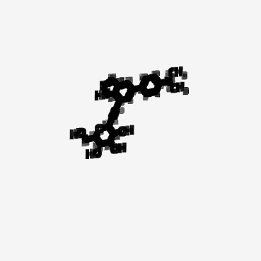 CN(C)c1ccc(-c2cc(C#CC3OC(CO)[C@@H](O)C(O)C3O)c3[nH]ncc3c2)cc1